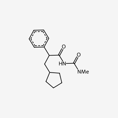 CNC(=O)NC(=O)C(CC1CCCC1)c1ccccc1